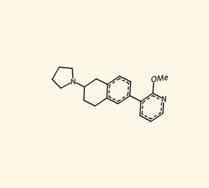 COc1ncccc1-c1ccc2c(c1)CCC(N1CCCC1)C2